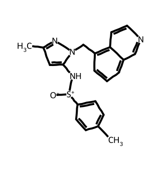 Cc1ccc([S+]([O-])Nc2cc(C)nn2Cc2cccc3cnccc23)cc1